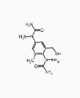 Cc1cc(N(N)C(N)=O)cc(CO)c1N(N)C(N)=O